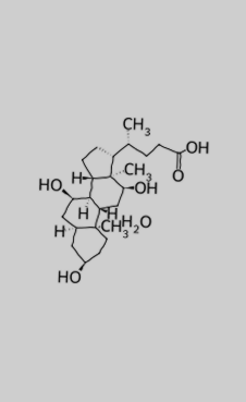 C[C@H](CCC(=O)O)[C@H]1CC[C@H]2[C@@H]3[C@H](O)C[C@@H]4C[C@H](O)CC[C@]4(C)[C@H]3C[C@H](O)[C@]12C.O